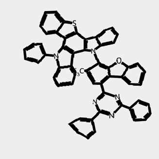 FC(F)(F)c1cc(-c2nc(-c3ccccc3)nc(-c3ccccc3)n2)c2c(oc3ccccc32)c1-n1c2ccccc2c2c3sc4ccccc4c3c3c(c4ccccc4n3-c3ccccc3)c21